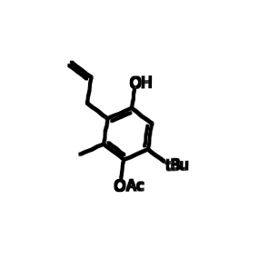 C=CCc1c(O)cc(C(C)(C)C)c(OC(C)=O)c1C